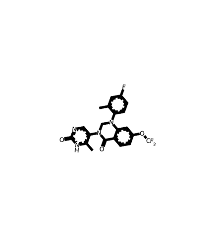 Cc1cc(F)ccc1N1CN(c2cnc(=O)[nH]c2C)C(=O)c2ccc(OC(F)(F)F)cc21